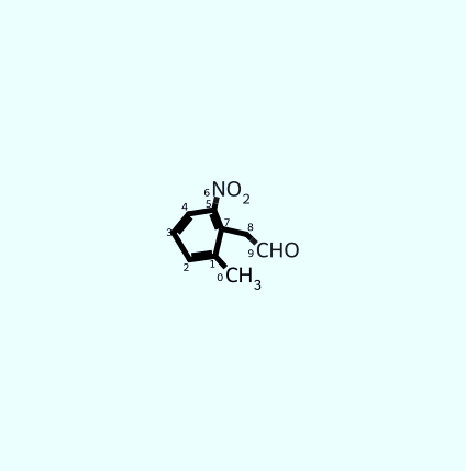 Cc1cccc([N+](=O)[O-])c1CC=O